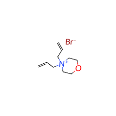 C=CC[N+]1(CC=C)CCOCC1.[Br-]